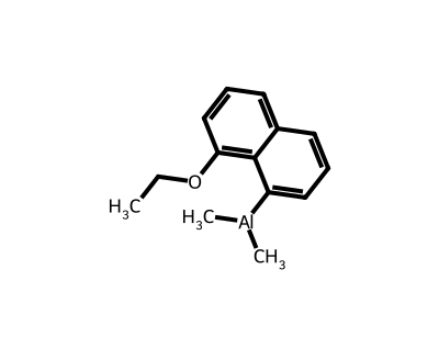 CCOc1cccc2ccc[c]([Al]([CH3])[CH3])c12